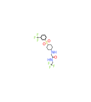 O=C(CN[C@H]1CC[C@@H](S(=O)(=O)c2cccc(C(F)(F)F)c2)CC1)NCC(F)(F)F